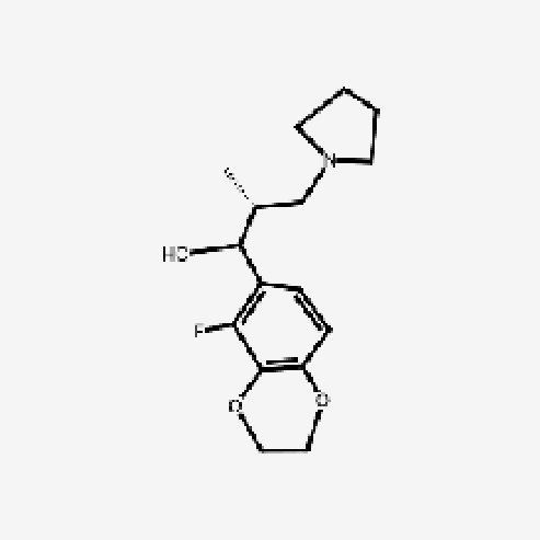 C[C@H](CN1CCCC1)C(O)c1ccc2c(c1F)OCCO2